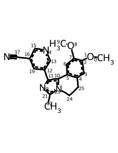 COc1cc2c(cc1OC)-c1c(-c3cncc(C#N)c3)nc(C)n1CC2